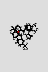 COc1cccc(C2=CC=C[CH]2[Hf](=[C](c2ccccc2)c2ccccc2)[CH]2c3cc(C(C)(C)C)ccc3-c3ccc(C(C)(C)C)cc32)c1OC